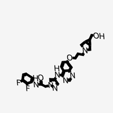 O=C(Cn1cc(Nc2ncnc3cc(OCCCN4CC5C(CO)C5C4)ccc23)cn1)Nc1cccc(F)c1F